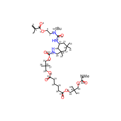 C=C(C)C(=O)OCCN(C(=O)NC1CC(C)(C)CC(C)(CNC(=O)OCC(C)(C)COC(=O)CCCCC(=O)OCC(C)(C)COC(=O)NC)C1)C(C)(C)C